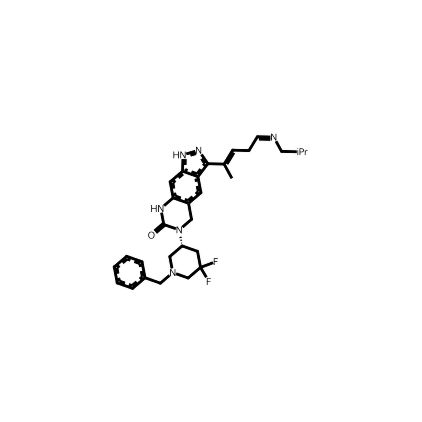 C/C(=C\C/C=N\CC(C)C)c1n[nH]c2cc3c(cc12)CN([C@H]1CN(Cc2ccccc2)CC(F)(F)C1)C(=O)N3